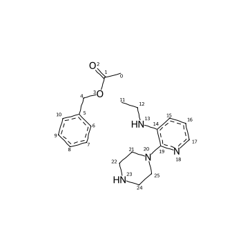 CC(=O)OCc1ccccc1.CCNc1cccnc1N1CCNCC1